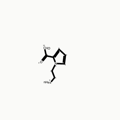 CCCCCCCCn1cccc1C(=O)C=O